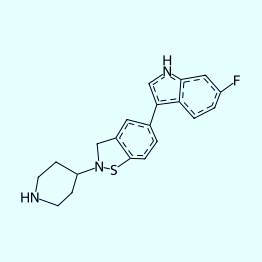 Fc1ccc2c(-c3ccc4c(c3)CN(C3CCNCC3)S4)c[nH]c2c1